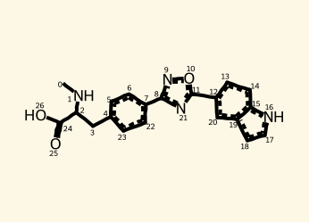 CNC(Cc1ccc(-c2noc(-c3ccc4[nH]ccc4c3)n2)cc1)C(=O)O